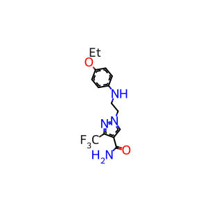 CCOc1ccc(NCCn2cc(C(N)=O)c(C(F)(F)F)n2)cc1